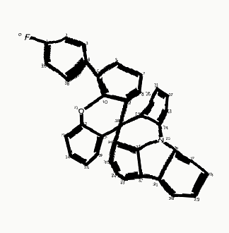 Fc1ccc(-c2cccc3c2Oc2ccccc2C32c3ccccc3-n3c4ccccc4c4cccc2c43)cc1